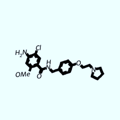 COc1cc(N)c(Cl)cc1C(=O)NCc1ccc(OCCN2CCCC2)cc1